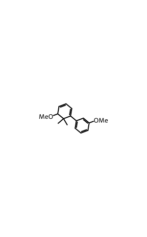 COc1cccc(C2=CC=CC(OC)C2(C)C)c1